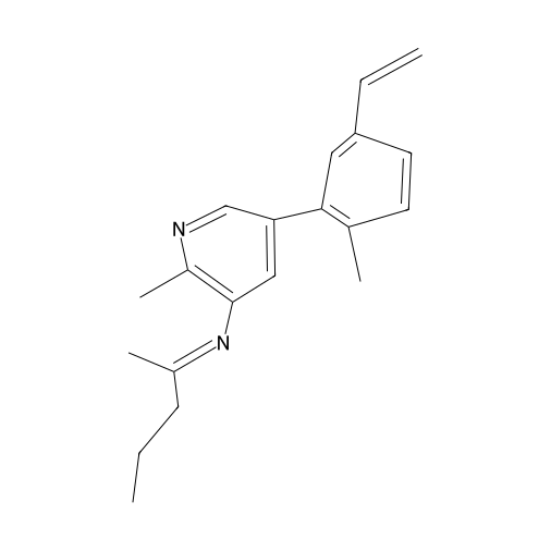 C=Cc1ccc(C)c(-c2cnc(C)c(/N=C(\C)CCC)c2)c1